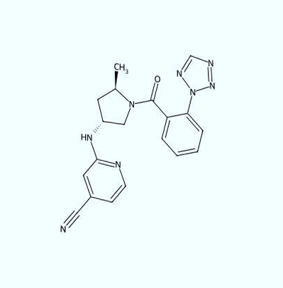 C[C@@H]1C[C@@H](Nc2cc(C#N)ccn2)CN1C(=O)c1ccccc1-n1ncnn1